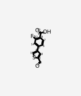 O=Cc1cc(-c2ccc(C(=O)O)c(F)c2)cs1